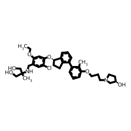 CCOc1cc(O[C@H]2CCc3c(-c4cccc(OCCCN5CC[C@@H](O)C5)c4C)cccc32)c(Cl)cc1CNC(C)(CO)CO